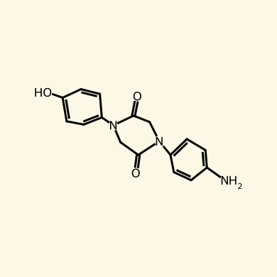 Nc1ccc(N2CC(=O)N(c3ccc(O)cc3)CC2=O)cc1